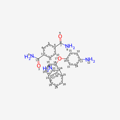 NC(=O)c1ccc(C(N)=O)cc1.Nc1ccc(Oc2ccc3c(N)c2-c2ccc-3cc2)cc1